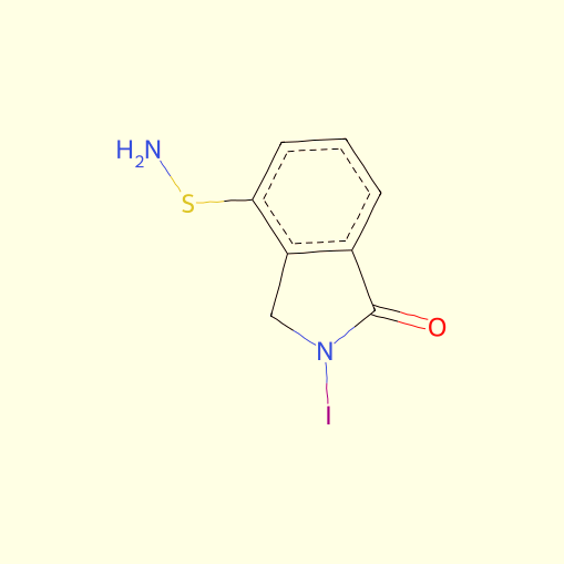 NSc1cccc2c1CN(I)C2=O